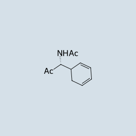 CC(=O)N[C@@H](C(C)=O)C1C=CC=CC1